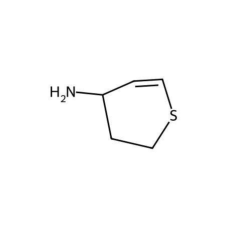 NC1C=CSCC1